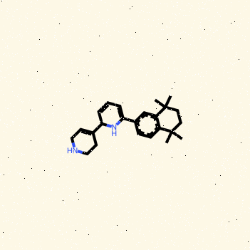 CC1(C)CCC(C)(C)c2cc(C3=CC=CC(C4=CCNCC4)N3)ccc21